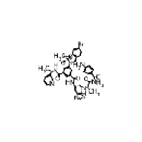 CC(NC(=O)c1cc(C(=O)N[C@H](CN[C@@H](C)C(=O)N[C@H](C)c2ccc(N)cc2)Cc2cscn2)cc(N(Cc2ccc(Br)cc2)S(C)(=O)=O)c1)c1cccnc1